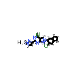 Cn1ccc(-c2nc(Cl)c3cn(-c4cc5c(cc4Cl)CCC5)nc3n2)n1